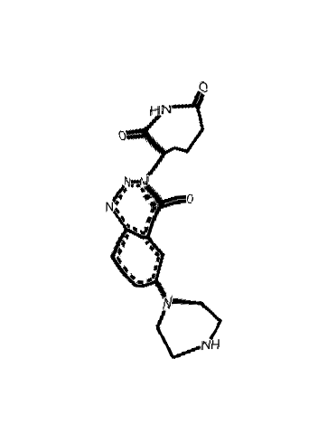 O=C1CCC(n2nnc3ccc(N4CCNCC4)cc3c2=O)C(=O)N1